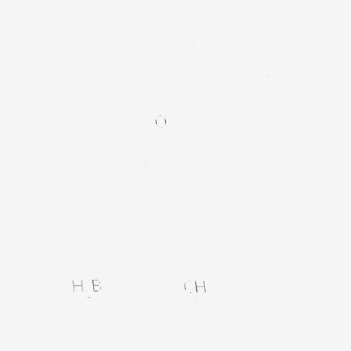 Bc1ccc(OCc2ccccc2)cc1C